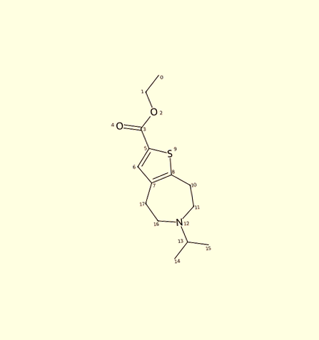 CCOC(=O)c1cc2c(s1)CCN(C(C)C)CC2